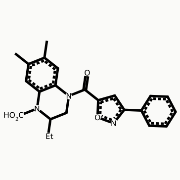 CCC1CN(C(=O)c2cc(-c3ccccc3)no2)c2cc(C)c(C)cc2N1C(=O)O